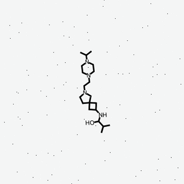 CC(C)C(O)NC1CC2(CCN(CCN3CCN(C(C)C)CC3)C2)C1